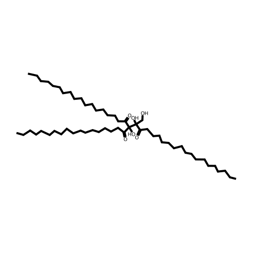 CCCCCCCCCCCCCCCCCC(=O)C(O)(CO)C(O)(C(=O)CCCCCCCCCCCCCCCCC)C(=O)CCCCCCCCCCCCCCCCC